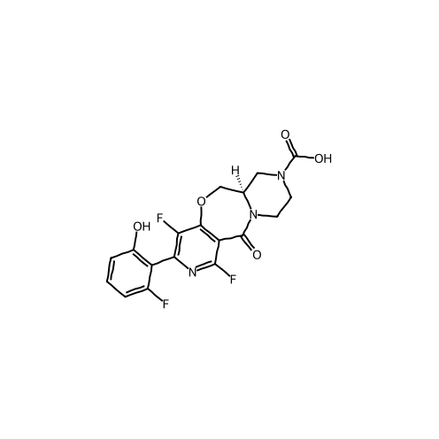 O=C(O)N1CCN2C(=O)c3c(F)nc(-c4c(O)cccc4F)c(F)c3OC[C@H]2C1